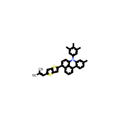 Cc1ccc2c(c1)N(c1cc(C)c(C)c(C)c1)c1ccc(-c3cc4sc(C=C(C#N)C#N)cc4s3)c3cccc-2c13